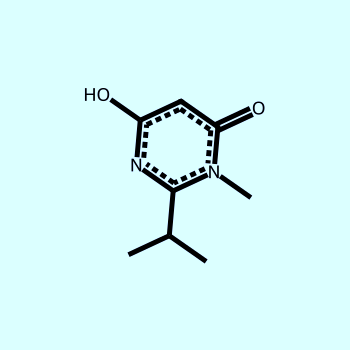 CC(C)c1nc(O)cc(=O)n1C